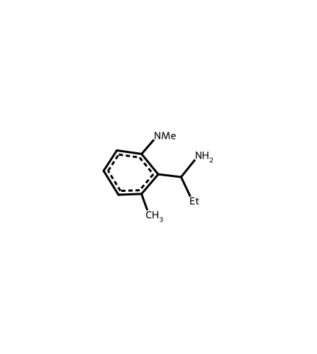 CCC(N)c1c(C)cccc1NC